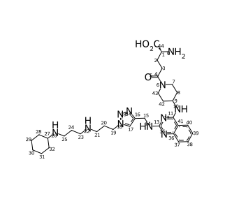 N[C@@H](CCC(=O)N1CCC(Nc2nc(NCc3cn(CCCNCCCNC4CCCCC4)nn3)nc3ccccc23)CC1)C(=O)O